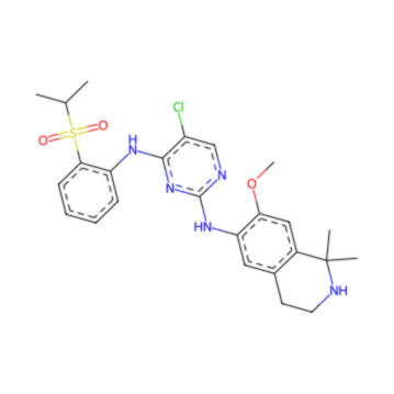 COc1cc2c(cc1Nc1ncc(Cl)c(Nc3ccccc3S(=O)(=O)C(C)C)n1)CCNC2(C)C